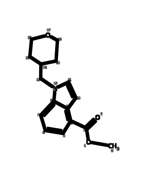 COC(=O)c1cccc2c1ccn2CC1CCOCC1